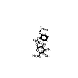 CCCCCCCCCOc1ccccc1OS(=O)(=O)O[C@@H]1O[C@H](CO)[C@@H](O)[C@H](O)[C@H]1O